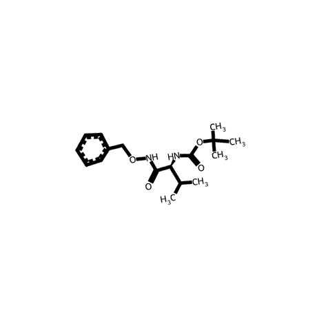 CC(C)[C@H](NC(=O)OC(C)(C)C)C(=O)NOCc1ccccc1